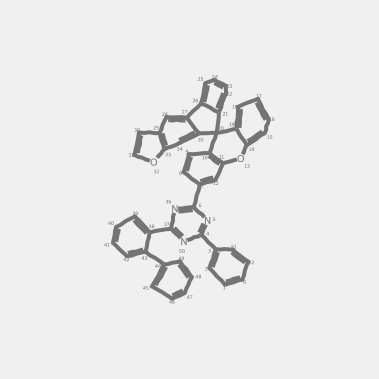 c1ccc(-c2nc(-c3ccc4c(c3)Oc3ccccc3C43c4ccccc4-c4cc5ccoc5cc43)nc(-c3ccccc3-c3ccccc3)n2)cc1